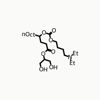 CCCCCCCCC(CCC(=O)OC(CO)CO)OC(=O)OCCCCN(CC)CC